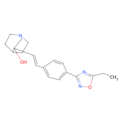 CCc1nc(-c2ccc(C=CC3(O)CN4CCC3CC4)cc2)no1